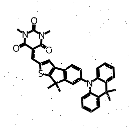 CN1C(=O)C(=Cc2cc3c(s2)C(C)(C)c2cc(N4c5ccccc5C(C)(C)c5ccccc54)ccc2-3)C(=O)N(C)C1=O